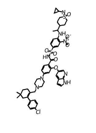 CC(Nc1ccc(S(=O)(=O)NC(=O)c2ccc(N3CCN(CC4=C(c5ccc(Cl)cc5)CC(C)(C)CC4)CC3)cc2Oc2cnc3[nH]ccc3c2)cc1[N+](=O)[O-])C1CCS(=O)(=NC2CC2)CC1